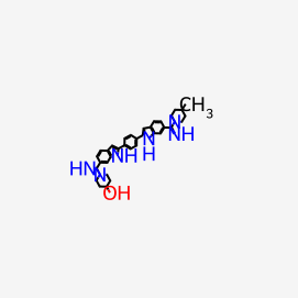 CC1CCN(C(=N)c2ccc3cc(-c4ccc(-c5cc6ccc(C(=N)N7CCC(O)CC7)cc6[nH]5)cc4)[nH]c3c2)CC1